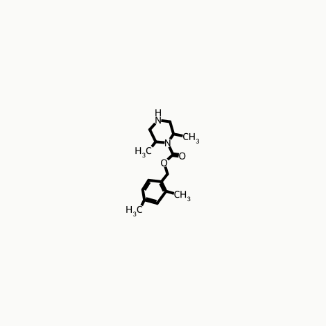 Cc1ccc(COC(=O)N2C(C)CNCC2C)c(C)c1